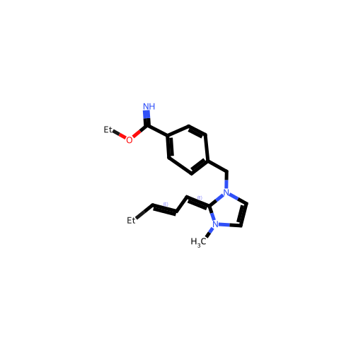 CC/C=C/C=C1\N(C)C=CN1Cc1ccc(C(=N)OCC)cc1